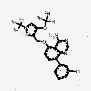 [2H]C([2H])([2H])Oc1cn(C([2H])([2H])[2H])nc1COc1ccc(-c2cccc(Cl)c2)c2ncnc(N)c12